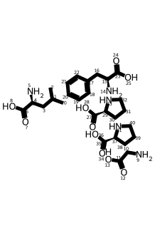 CC(C)C[C@H](N)C(=O)O.NCC(=O)O.N[C@@H](Cc1ccccc1)C(=O)O.O=C(O)[C@@H]1CCCN1.O=C(O)[C@@H]1CCCN1